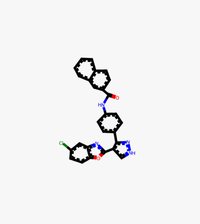 O=C(Nc1ccc(-c2n[nH]cc2-c2nc3cc(Cl)ccc3o2)cc1)c1ccc2ccccc2c1